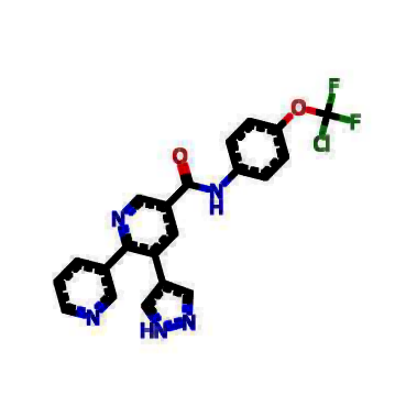 O=C(Nc1ccc(OC(F)(F)Cl)cc1)c1cnc(-c2cccnc2)c(-c2cn[nH]c2)c1